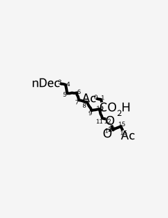 CC(=O)CC(=O)O.CCCCCCCCCCCCCCCCCCOC(=O)CC(C)=O